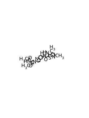 CO[C@H]1CN(c2ccc3c(n2)CC[C@H](NC(=O)c2sc4nc(C)cc(C)c4c2N)C3)C[C@@H]1NC(C)=O